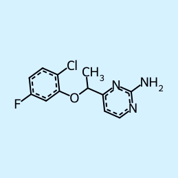 CC(Oc1cc(F)ccc1Cl)c1ccnc(N)n1